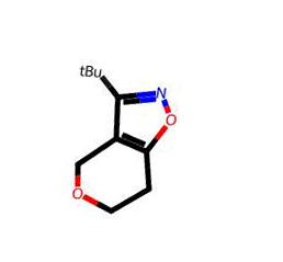 CC(C)(C)c1noc2c1COCC2